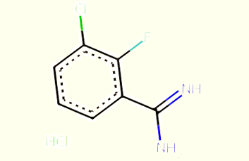 Cl.N=C(N)c1cccc(Cl)c1F